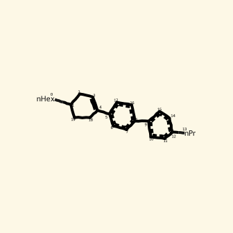 CCCCCCC1CC=C(c2ccc(-c3ccc(CCC)cc3)cc2)CC1